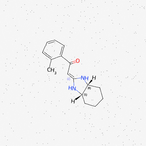 Cc1ccccc1C(=O)/C=C1/N[C@H]2CCCC[C@H]2N1